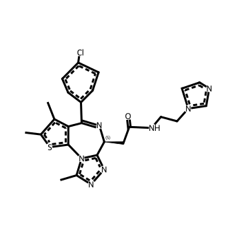 Cc1sc2c(c1C)C(c1ccc(Cl)cc1)=N[C@@H](CC(=O)NCCn1ccnc1)c1nnc(C)n1-2